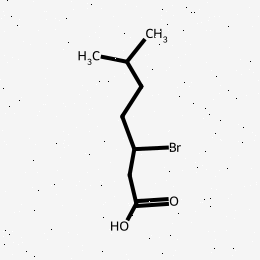 CC(C)CCC(Br)CC(=O)O